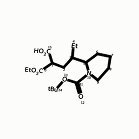 CCOC(=O)C(CC(CC)C1CCCCN1C(=O)OC(C)(C)C)C(=O)O